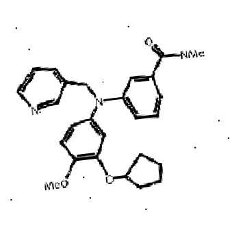 CNC(=O)c1cccc(N(Cc2cccnc2)c2ccc(OC)c(OC3CCCC3)c2)c1